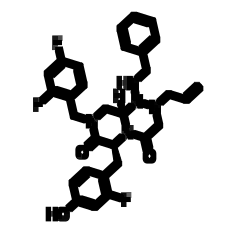 C=CCN1CC(=O)N2[C@@H](Cc3ccc(O)cc3F)C(=O)N(Cc3ccc(F)cc3F)C[C@@H]2N1NCc1ccccc1